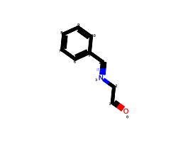 O=CC/N=C/c1ccccc1